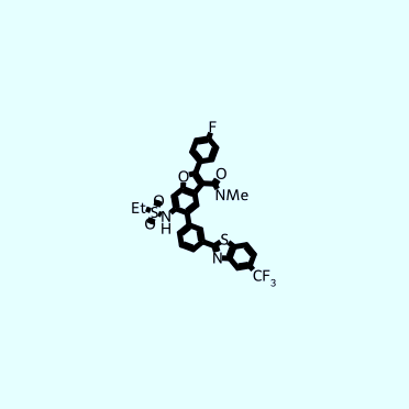 CCS(=O)(=O)Nc1cc2oc(-c3ccc(F)cc3)c(C(=O)NC)c2cc1-c1cccc(-c2nc3cc(C(F)(F)F)ccc3s2)c1